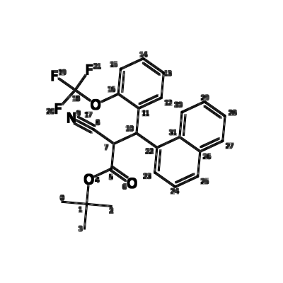 CC(C)(C)OC(=O)C(C#N)C(c1ccccc1OC(F)(F)F)c1cccc2ccccc12